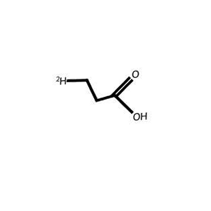 [2H]CCC(=O)O